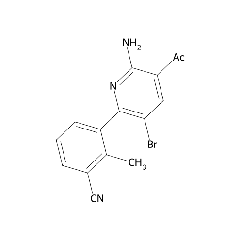 CC(=O)c1cc(Br)c(-c2cccc(C#N)c2C)nc1N